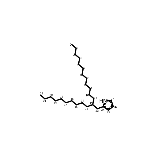 CCCCCCCCCCCCC(CCCCCCCCCC)Cc1ccc[nH]1